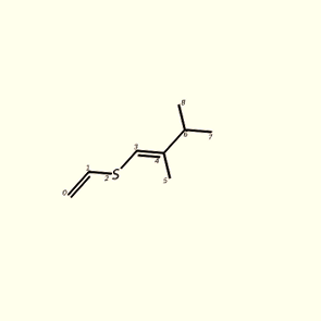 C=CS/C=C(\C)C(C)C